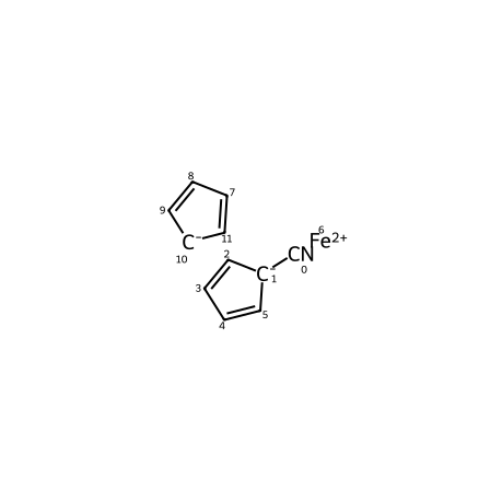 N#C[c-]1cccc1.[Fe+2].c1cc[cH-]c1